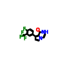 O=c1[nH]ccn2ccc(-c3ccc(F)c(C(F)(F)F)c3)c12